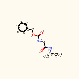 CCCC[C@H](NC(=O)CNC(=O)OCc1ccccc1)C(=O)O